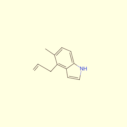 C=CCc1c(C)ccc2[nH]ccc12